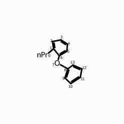 [CH2]CCc1ccccc1Oc1ccccc1